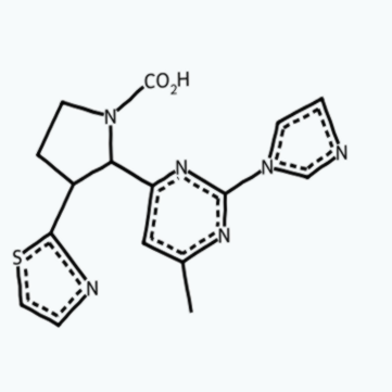 Cc1cc(C2C(c3nccs3)CCN2C(=O)O)nc(-n2ccnc2)n1